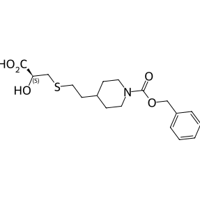 O=C(O)[C@H](O)CSCCC1CCN(C(=O)OCc2ccccc2)CC1